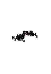 CN(C)CCNC(=O)N1CCC(C#N)(CCc2ccc(C(N)=O)cc2)CC1